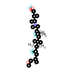 Cc1cc(C2Cc3ccc(-c4cc(-c5ccc6oc7ccccc7c6c5)c5ccccc5c4)cc3C(F)(C(F)(F)F)C2)cc(C)c1-c1c2ccccc2c(-c2ccc3c(c2)C(F)(F)c2ccc(-c4cccc5c4c4ccccc4n5-c4ccc(-c5ccc(-c6ccc7c(c6)OC(F)(F)O7)c6ccccc56)c5ccccc45)cc2C3(C)C)c2ccccc12